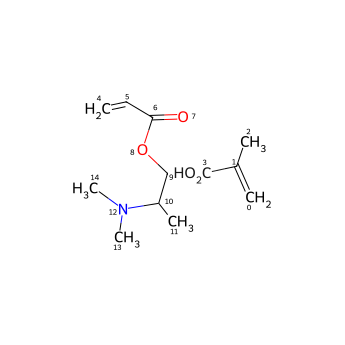 C=C(C)C(=O)O.C=CC(=O)OCC(C)N(C)C